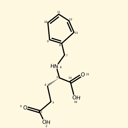 O=C(O)CC[C@H](NCc1ccccc1)C(=O)O